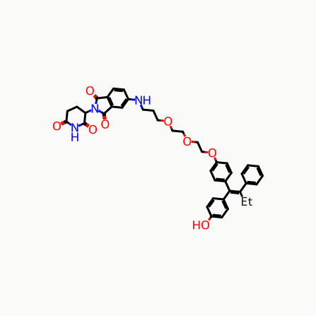 CC/C(=C(\c1ccc(O)cc1)c1ccc(OCCOCCOCCCNc2ccc3c(c2)C(=O)N(C2CCC(=O)NC2=O)C3=O)cc1)c1ccccc1